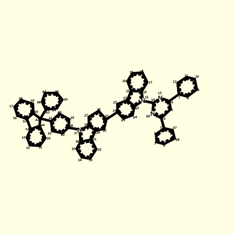 c1ccc(-c2cc(-c3ccccc3)nc(-n3c4ccccc4c4cc(-c5ccc6c(c5)c5ccccc5n6-c5ccc(C6(c7ccccc7)c7ccccc7-c7ccccc76)cc5)ccc43)n2)cc1